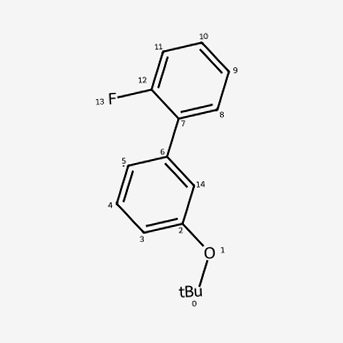 CC(C)(C)Oc1cc[c]c(-c2ccccc2F)c1